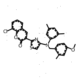 COc1ccc(CN(c2cc(C)cc(C)c2)c2csc(-c3cc4cccc(Cl)c4oc3=O)n2)c(C)c1